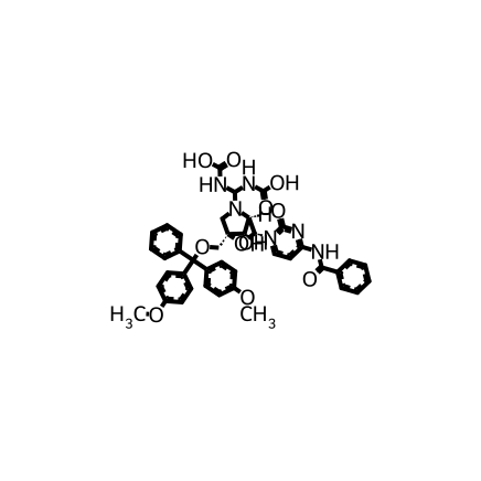 COc1ccc(C(OC[C@@]23CN(C(NC(=O)O)NC(=O)O)[C@@H]([C@H](n4ccc(NC(=O)c5ccccc5)nc4=O)O2)[C@@H]3O)(c2ccccc2)c2ccc(OC)cc2)cc1